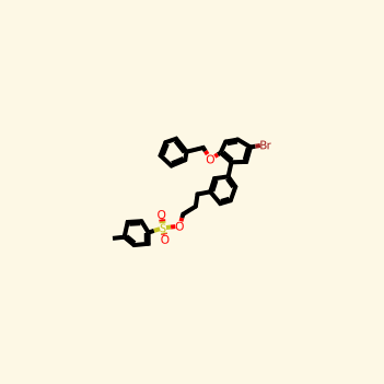 Cc1ccc(S(=O)(=O)OCCCc2cccc(-c3cc(Br)ccc3OCc3ccccc3)c2)cc1